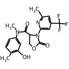 Cc1cc(C(F)(F)F)cc(N2C(=O)OCC2C(=O)N(C)c2ccc(C)c(O)c2)n1